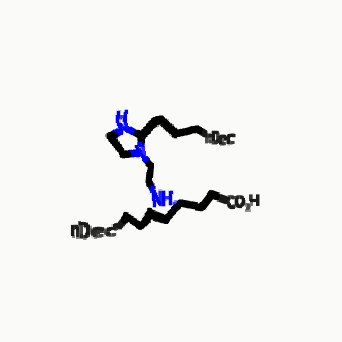 CCCCCCCCCCCCCC1NCCN1CCN.CCCCCCCCCCCCCCCCCC(=O)O